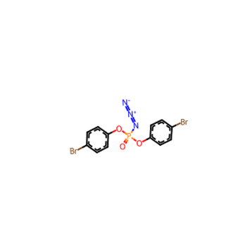 [N-]=[N+]=NP(=O)(Oc1ccc(Br)cc1)Oc1ccc(Br)cc1